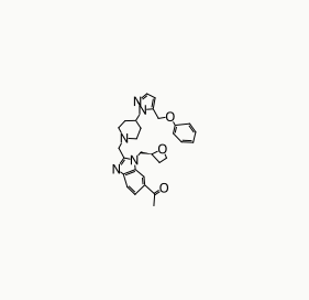 CC(=O)c1ccc2nc(CN3CCC(n4nccc4COc4ccccc4)CC3)n(C[C@@H]3CCO3)c2c1